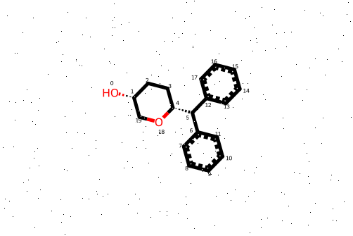 O[C@@H]1CC[C@H](C(c2ccccc2)c2ccccc2)OC1